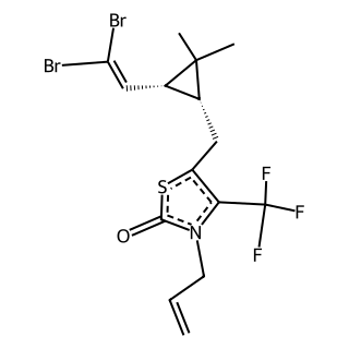 C=CCn1c(C(F)(F)F)c(C[C@@H]2[C@H](C=C(Br)Br)C2(C)C)sc1=O